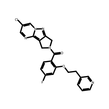 O=C(c1ccc(F)cc1OCCc1cccnc1)N1Cc2nn3cc(Cl)cnc3c2C1